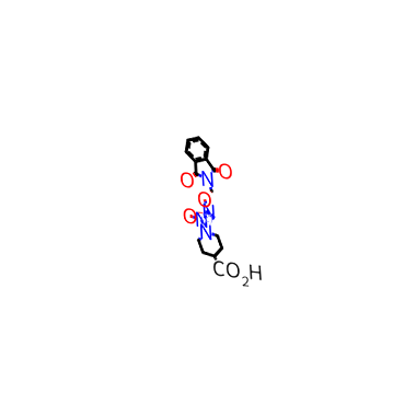 O=C(O)C1CCN(/[N+]([O-])=N/OCN2C(=O)c3ccccc3C2=O)CC1